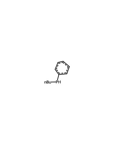 CCCCPc1ccccc1